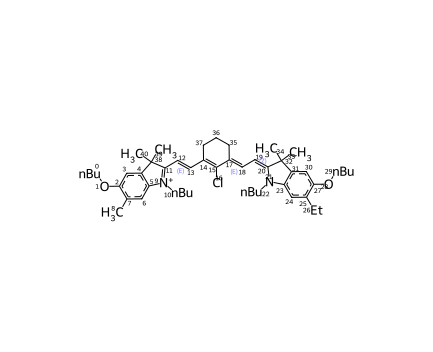 CCCCOc1cc2c(cc1C)[N+](CCCC)=C(/C=C/C1=C(Cl)C(=C/C=C3\N(CCCC)c4cc(CC)c(OCCCC)cc4C3(C)C)/CCC1)C2(C)C